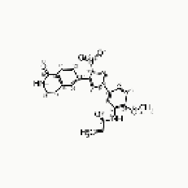 C=CC(=O)Nc1cc(-n2cc(-c3ccc4c(c3)CCNC4=O)c([N+](=O)[O-])n2)ccc1OC